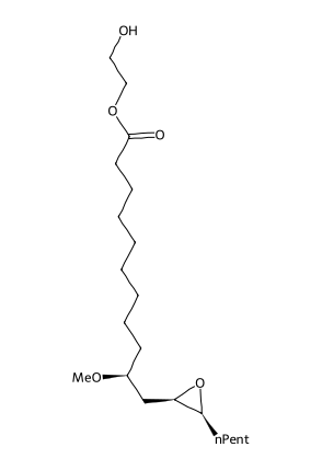 CCCCC[C@@H]1O[C@@H]1C[C@H](CCCCCCCCC(=O)OCCO)OC